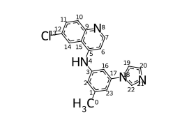 Cc1cc(Nc2ccnc3ccc(Cl)cc23)cc(-n2ccnc2)c1